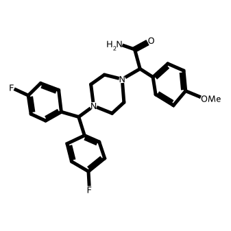 COc1ccc(C(C(N)=O)N2CCN(C(c3ccc(F)cc3)c3ccc(F)cc3)CC2)cc1